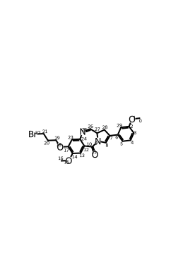 COc1cccc(C2=CN3C(=O)c4cc(OC)c(OCCCBr)cc4N=CC3C2)c1